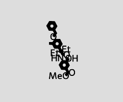 CCC(CC)(C(=O)Nc1ccc(C(=O)OC)cc1O)c1ccc(OCc2ccccc2)c(C)c1